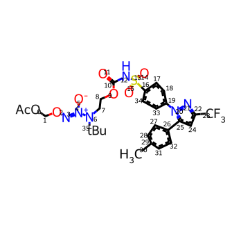 CC(=O)OCON=[N+]([O-])N(CCOC(=O)NS(=O)(=O)c1ccc(-n2nc(C(F)(F)F)cc2-c2ccc(C)cc2)cc1)C(C)(C)C